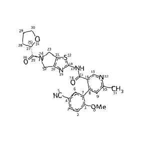 COc1ccc(C#N)cc1-c1cc(C)ncc1C(=O)Nc1nc2c(s1)CN(C(=O)[C@@H]1CCCO1)C2